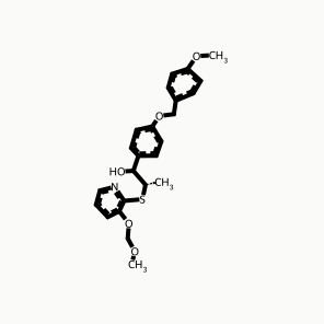 COCOc1cccnc1S[C@@H](C)C(O)c1ccc(OCc2ccc(OC)cc2)cc1